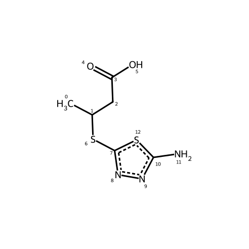 CC(CC(=O)O)Sc1nnc(N)s1